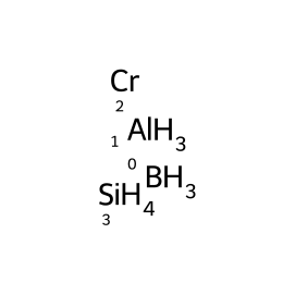 B.[AlH3].[Cr].[SiH4]